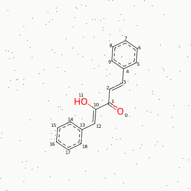 O=C(C=Cc1ccccc1)C(O)=Cc1ccccc1